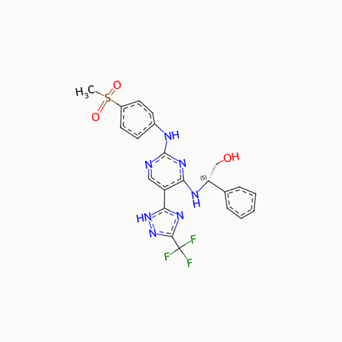 CS(=O)(=O)c1ccc(Nc2ncc(-c3nc(C(F)(F)F)n[nH]3)c(N[C@H](CO)c3ccccc3)n2)cc1